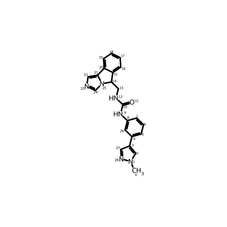 Cn1cc(-c2cccc(NC(=O)NCC3c4ccccc4-c4cncn43)c2)cn1